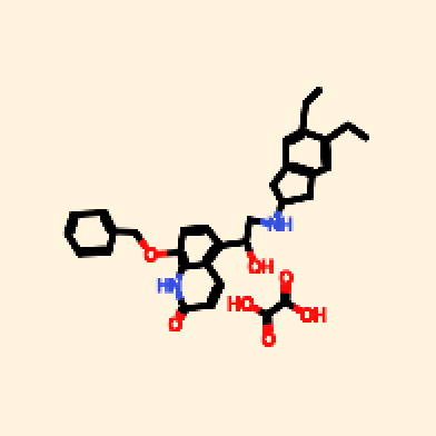 CCc1cc2c(cc1CC)CC(NCC(O)c1ccc(OCc3ccccc3)c3[nH]c(=O)ccc13)C2.O=C(O)C(=O)O